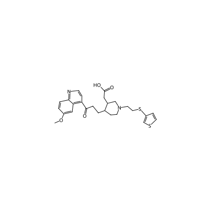 COc1ccc2nccc(C(=O)CCC3CCN(CCSc4ccsc4)CC3CC(=O)O)c2c1